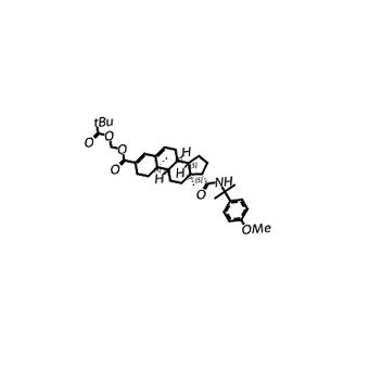 COc1ccc(C(C)(C)NC(=O)[C@H]2CC[C@H]3[C@@H]4CC=C5C=C(C(=O)OCOC(=O)C(C)(C)C)CC[C@]5(C)[C@H]4CC[C@]23C)cc1